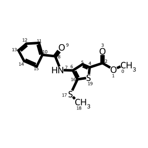 COC(=O)c1cc(NC(=O)c2ccccc2)c(SC)s1